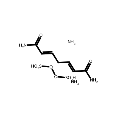 N.N.NC(=O)C=CCC=CC(N)=O.O=S(=O)(O)OOS(=O)(=O)O